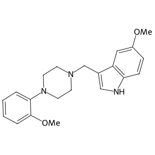 COc1ccc2[nH]cc(CN3CCN(c4ccccc4OC)CC3)c2c1